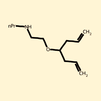 C=CCC(CC=C)OCCNCCC